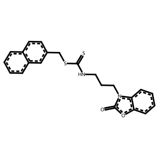 O=c1oc2ccccc2n1CCCNC(=S)SCc1ccc2ccccc2c1